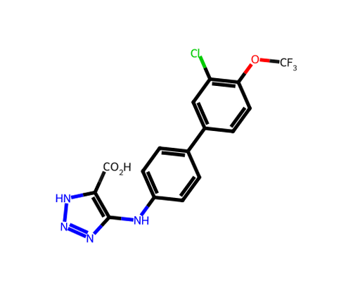 O=C(O)c1[nH]nnc1Nc1ccc(-c2ccc(OC(F)(F)F)c(Cl)c2)cc1